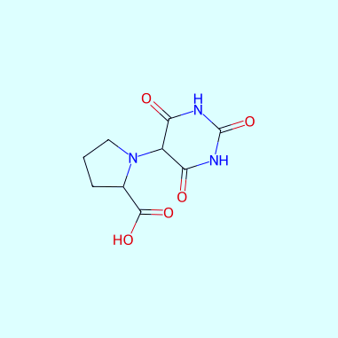 O=C1NC(=O)C(N2CCCC2C(=O)O)C(=O)N1